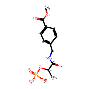 COC(=O)c1ccc(CNC(=O)C(C)OP(=O)(O)O)cc1